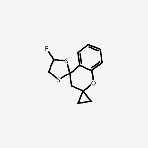 FC1CSC2(CC3(CC3)Oc3ccccc32)S1